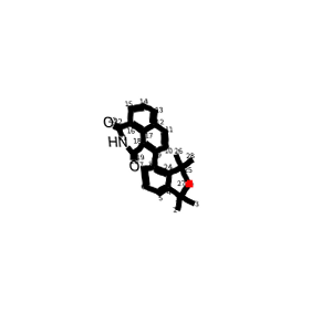 CC(C)(C)c1cccc(-c2ccc3cccc4c3c2C(=O)NC4=O)c1C(C)(C)C